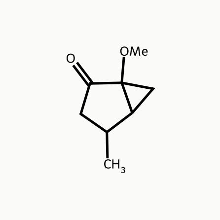 COC12CC1C(C)CC2=O